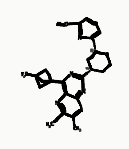 COc1cccc([C@H]2C[C@@H](c3nc(C45CC(C(F)(F)F)(C4)C5)c4nc(C)c(C)nc4n3)CCO2)n1